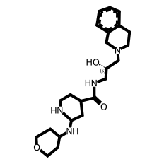 O=C(NC[C@H](O)CN1CCc2ccccc2C1)C1CCNC(NC2CCOCC2)C1